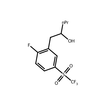 CCCC(O)Cc1cc(S(=O)(=O)C(F)(F)F)ccc1F